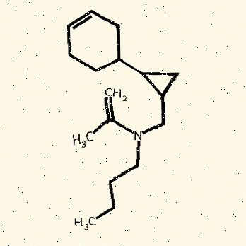 C=C(C)N(CCCC)CC1CC1C1CC=CCC1